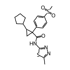 Cc1nnc(NC(=O)C2(c3ccc(S(C)(=O)=O)cc3)CC2C2CCCC2)s1